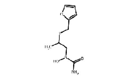 CC(CN(O)C(N)=O)SCc1ccco1